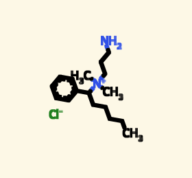 CCCCCC(c1ccccc1)[N+](C)(C)CCCN.[Cl-]